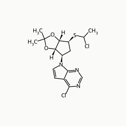 CC(Cl)S[C@H]1C[C@@H](n2ccc3c(Cl)ncnc32)[C@@H]2OC(C)(C)O[C@@H]21